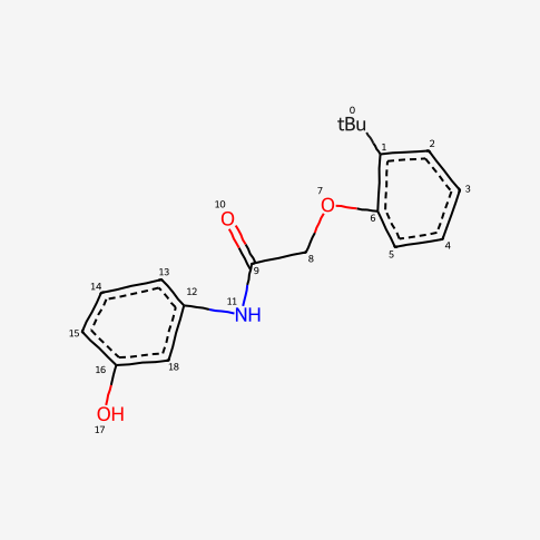 CC(C)(C)c1ccccc1OCC(=O)Nc1cccc(O)c1